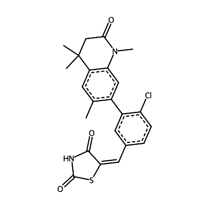 Cc1cc2c(cc1-c1cc(C=C3SC(=O)NC3=O)ccc1Cl)N(C)C(=O)CC2(C)C